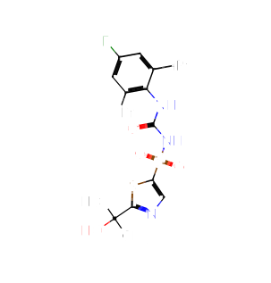 CC(C)c1cc(F)cc(C(C)C)c1NC(=O)NS(=O)(=O)c1cnc(C(C)(C)O)s1